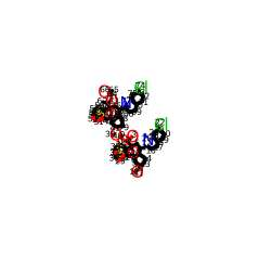 COC(=O)C(CC(c1ccc(OC)cc1)c1ccc2ccc(Cl)cc2n1)(OCc1cccs1)c1ccccc1.COc1ccc(C(CC(OCc2cccs2)(c2ccccc2)C(C)OC(C)=O)c2ccc3ccc(Cl)cc3n2)cc1